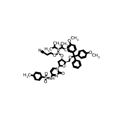 COc1ccc(C(OC[C@H]2O[C@@H](n3ccc(NS(=O)(=O)c4ccc(C)cc4)nc3=O)C[C@@H]2OP(OCCC#N)N(C(C)C)C(C)C)(c2ccccc2)c2ccc(OC)cc2)cc1